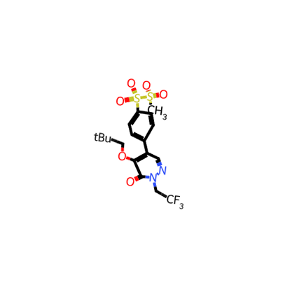 CC(C)(C)COc1c(-c2ccc(S(=O)(=O)S(C)(=O)=O)cc2)cnn(CC(F)(F)F)c1=O